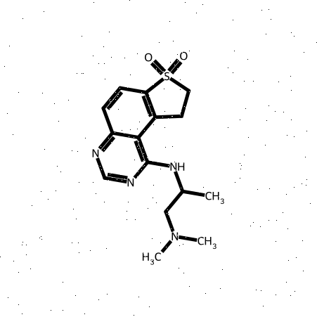 CC(CN(C)C)Nc1ncnc2ccc3c(c12)CCS3(=O)=O